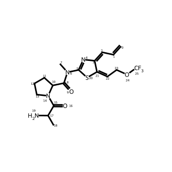 C=C/C=c1/nc(N(C)C(=O)C2CCCN2C(=O)C(C)N)s/c1=C/COC(F)(F)F